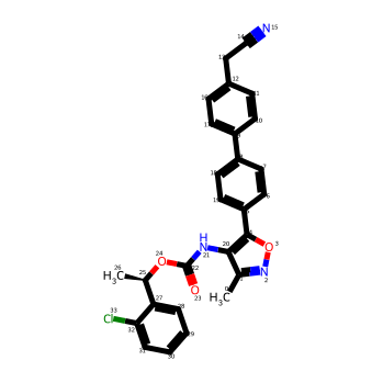 Cc1noc(-c2ccc(-c3ccc(CC#N)cc3)cc2)c1NC(=O)O[C@H](C)c1ccccc1Cl